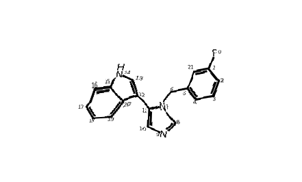 Fc1cccc(Cn2cncc2-c2c[nH]c3ccccc23)c1